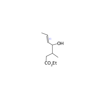 C/C=C/C(O)C(C)CC(=O)OCC